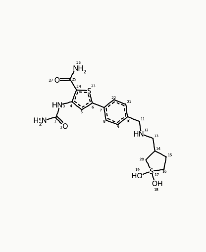 NC(=O)Nc1cc(-c2ccc(CNCC3CCS(O)(O)C3)cc2)sc1C(N)=O